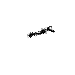 CCCCC[Si](C)(Cl)CSc1ncc(COCCOCCN=[N+]=[N-])cn1